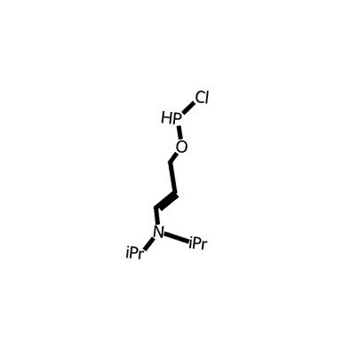 CC(C)N(C=CCOPCl)C(C)C